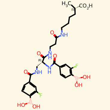 C[C@@H](CCCCNC(=O)CCNC(=O)[C@@H](CNC(=O)c1ccc(B(O)O)c(F)c1)NC(=O)c1ccc(B(O)O)c(F)c1)C(=O)O